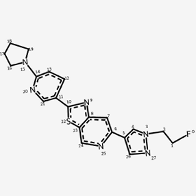 FCCn1cc(-c2cc3nc(-c4ccc(N5CCCC5)nc4)sc3cn2)cn1